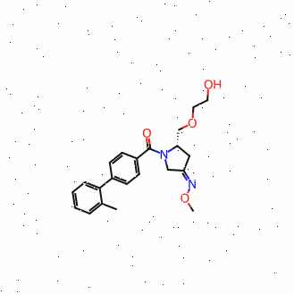 CO/N=C1/C[C@@H](COCCO)N(C(=O)c2ccc(-c3ccccc3C)cc2)C1